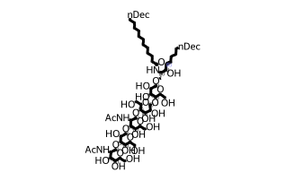 CCCCCCCCCCCCC/C=C/[C@@H](O)[C@H](CO[C@@H]1OC(CO)[C@@H](O[C@@H]2OC(CO)[C@H](O[C@@H]3OC(CO)[C@H](O)[C@H](O[C@@H]4OC(CO)[C@H](O)[C@H](O[C@@H]5OC(CO)[C@H](O)[C@H](O)C5NC(C)=O)C4O)C3NC(C)=O)[C@H](O)C2O)[C@H](O)C1O)NC(=O)CCCCCCCCCCCCCCCCCCCCC